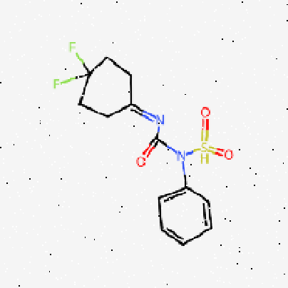 O=C(N=C1CCC(F)(F)CC1)N(c1ccccc1)[SH](=O)=O